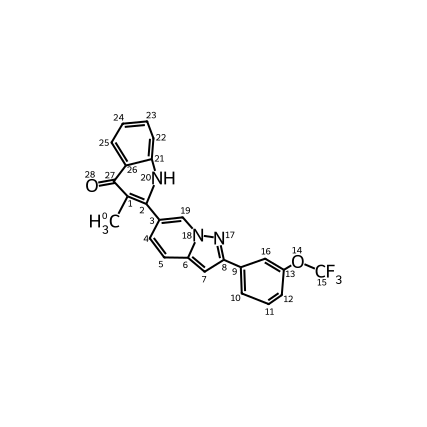 Cc1c(-c2ccc3cc(-c4cccc(OC(F)(F)F)c4)nn3c2)[nH]c2ccccc2c1=O